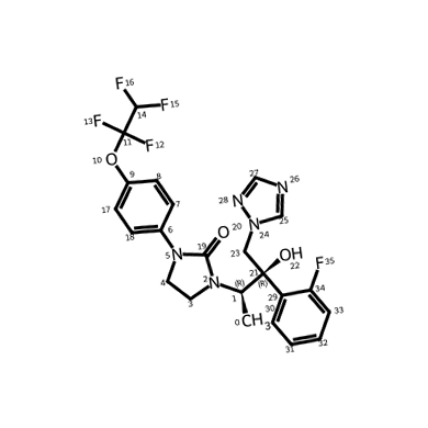 C[C@@H](N1CCN(c2ccc(OC(F)(F)C(F)F)cc2)C1=O)[C@](O)(Cn1cncn1)c1ccccc1F